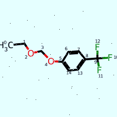 CCOCOc1ccc(C(F)(F)F)cc1